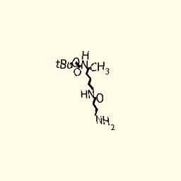 CC(CCCCNC(=O)CCCN)NC(=O)OC(C)(C)C